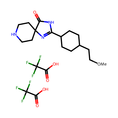 COCCC1CCC(C2=NC3(CCNCC3)C(=O)N2)CC1.O=C(O)C(F)(F)F.O=C(O)C(F)(F)F